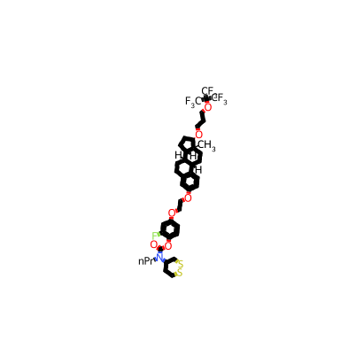 CCCN(C(=O)Oc1ccc(OCCOc2ccc3c(c2)CC[C@@H]2[C@@H]3CC[C@]3(C)[C@@H](OCCCOC(C(F)(F)F)(C(F)(F)F)C(F)(F)F)CC[C@@H]23)cc1F)C1CCSSC1